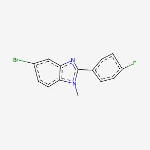 Cn1c(-c2ccc(F)cc2)nc2cc(Br)ccc21